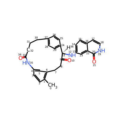 Cc1ccc2cc1CCC(=O)[C@H](Nc1ccc3cc[nH]c(=O)c3c1)c1ccc(cc1)CCCC(=O)N2